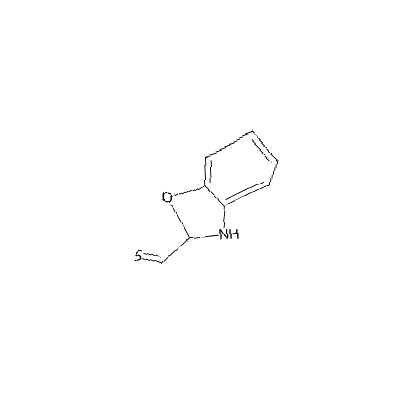 S=CC1Nc2ccccc2O1